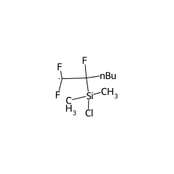 CCCCC(F)([C](F)F)[Si](C)(C)Cl